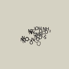 Cn1nnc2ccc(C(=O)/N=C(\CC3CCCCC3)C(=O)N3C[C@@H](n4nncc4C(C)(C)O)C[C@H]3C(=O)NC3(C(=O)C(N)=O)CCSCC3)cc21